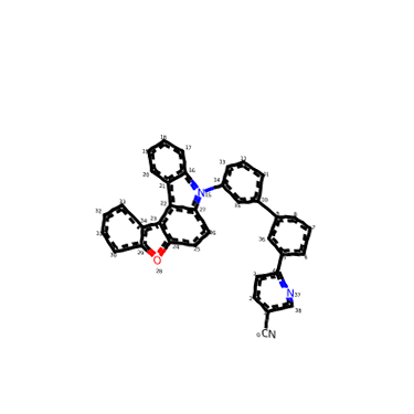 N#Cc1ccc(-c2cccc(-c3cccc(-n4c5ccccc5c5c6c(ccc54)oc4ccccc46)c3)c2)nc1